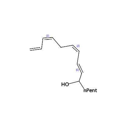 C=C/C=C\C/C=C\C=C\C(O)CCCCC